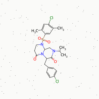 Cc1cc(S(=O)(=O)N2CCC(=O)N3C(Cc4ccc(Cl)cc4)C(=O)N(C(C)C)CC32)c(C)cc1Cl